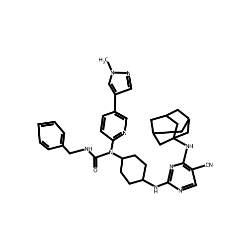 Cn1cc(-c2ccc(N(C(=O)NCc3ccccc3)C3CCC(Nc4ncc(C#N)c(NC56CC7CC(CC(C7)C5)C6)n4)CC3)nc2)cn1